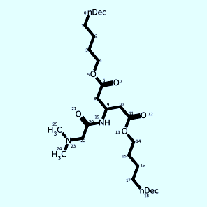 CCCCCCCCCCCCCCOC(=O)CC(CC(=O)OCCCCCCCCCCCCCC)NC(=O)CN(C)C